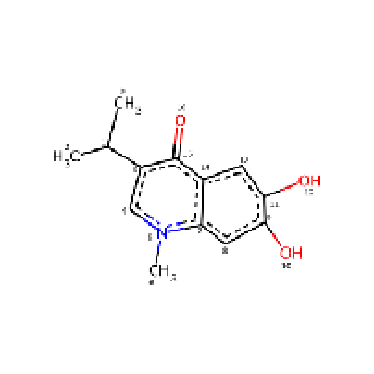 CC(C)c1cn(C)c2cc(O)c(O)cc2c1=O